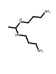 CC(NCCCN)NCCCN